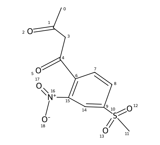 CC(=O)CC(=O)c1ccc(S(C)(=O)=O)cc1[N+](=O)[O-]